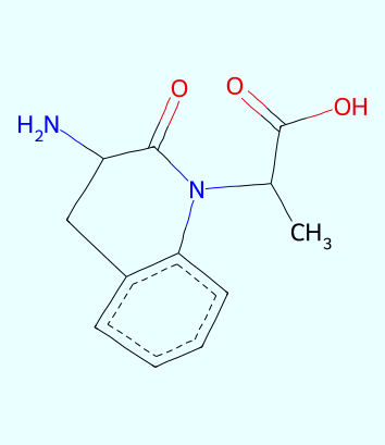 CC(C(=O)O)N1C(=O)C(N)Cc2ccccc21